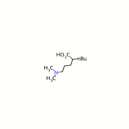 CCCCC(CCCN(C)C)C(=O)O